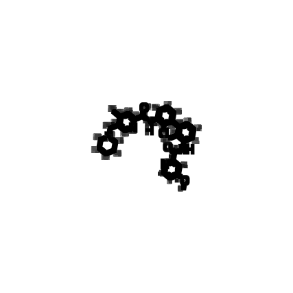 COc1ccnc(C(=O)Nc2cccc(-c3cccc(NC(=O)c4cc(C)c(CN5CCCCC5)cn4)c3Cl)c2C)c1